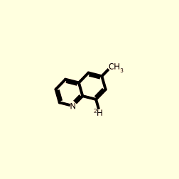 [2H]c1cc(C)cc2cccnc12